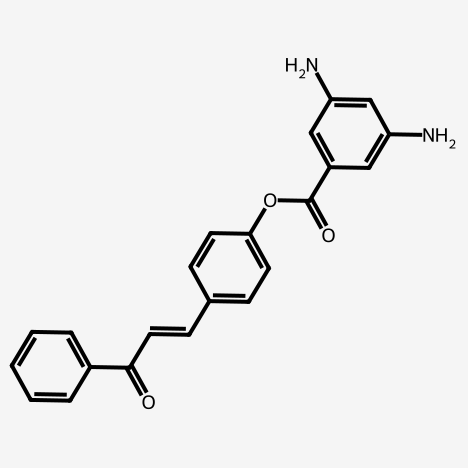 Nc1cc(N)cc(C(=O)Oc2ccc(C=CC(=O)c3ccccc3)cc2)c1